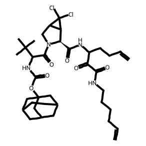 C=CCCCCNC(=O)C(=O)C(CCC=C)NC(=O)[C@@H]1C2C(CN1C(=O)C(NC(=O)OC13CC4CC(CC(C4)C1)C3)C(C)(C)C)C2(Cl)Cl